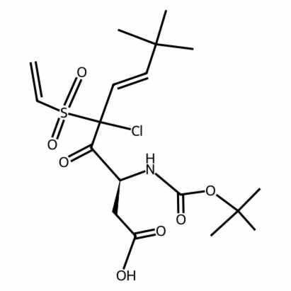 C=CS(=O)(=O)C(Cl)(C=CC(C)(C)C)C(=O)[C@H](CC(=O)O)NC(=O)OC(C)(C)C